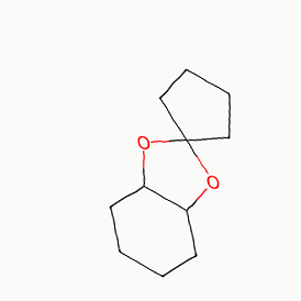 C1CCC2OC3(CCCC3)OC2C1